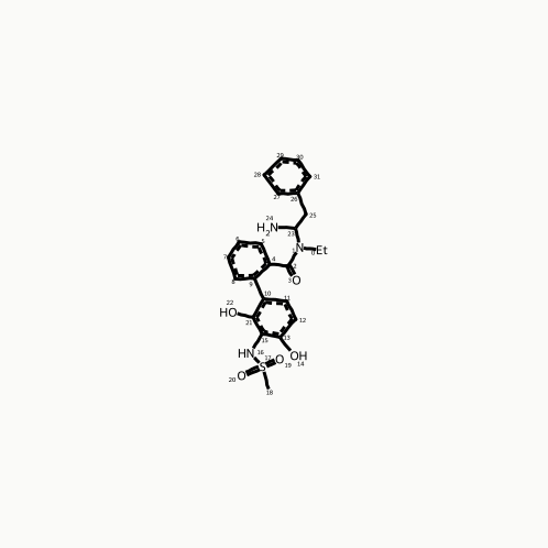 CCN(C(=O)c1ccccc1-c1ccc(O)c(NS(C)(=O)=O)c1O)C(N)Cc1ccccc1